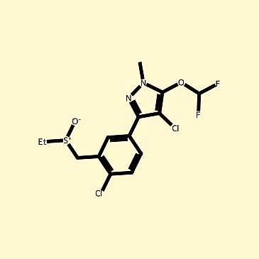 CC[S+]([O-])Cc1cc(-c2nn(C)c(OC(F)F)c2Cl)ccc1Cl